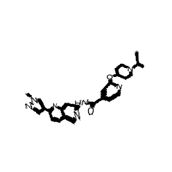 CC(C)N1CCC(Oc2cc(C(=O)Nc3cc4nc(-c5cnn(C)c5)ccc4cn3)ccn2)CC1